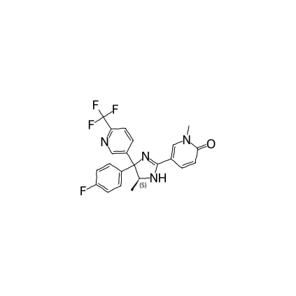 C[C@@H]1NC(c2ccc(=O)n(C)c2)=NC1(c1ccc(F)cc1)c1ccc(C(F)(F)F)nc1